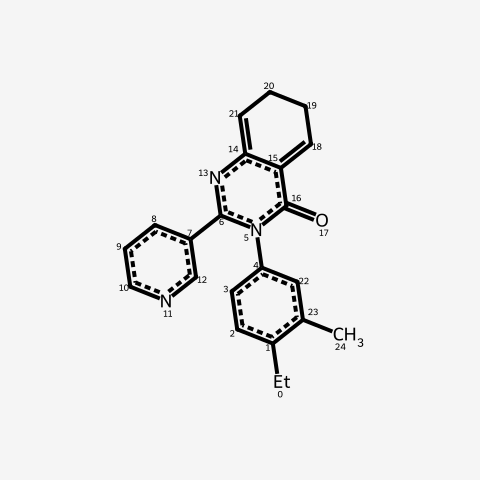 CCc1ccc(-n2c(-c3cccnc3)nc3c(c2=O)=CCCC=3)cc1C